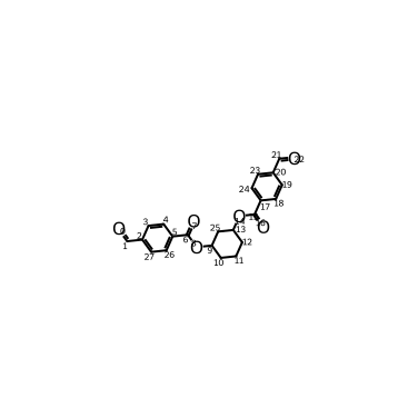 O=Cc1ccc(C(=O)OC2CCCC(OC(=O)c3ccc(C=O)cc3)C2)cc1